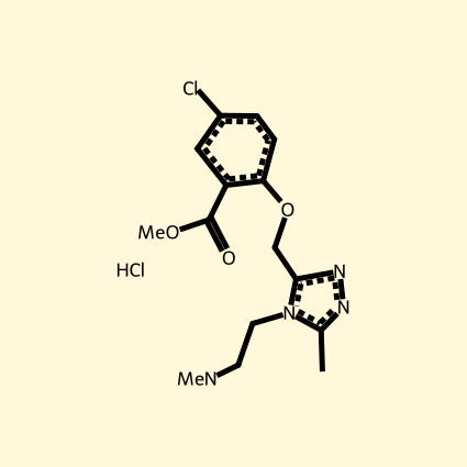 CNCCn1c(C)nnc1COc1ccc(Cl)cc1C(=O)OC.Cl